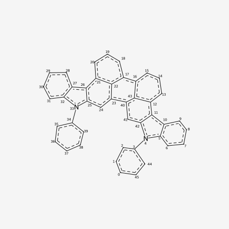 c1ccc(-n2c3ccccc3c3c4cccc5c6cccc7c6c(cc6c7c7ccccc7n6-c6ccccc6)c(cc32)c54)cc1